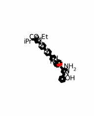 CCOC(=O)C(c1cc(N2CCC(N3CCC(c4cnc(C56CC7CC5C(CN(c5cc(-c8ccccc8O)nnc5N)C7)C6)nc4)CC3)CC2)no1)C(C)C